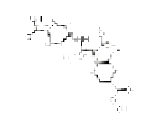 COC(=O)c1ccc2c(c1)NC(=O)/C2=C(/C)Nc1ccc(C(=O)O)cc1